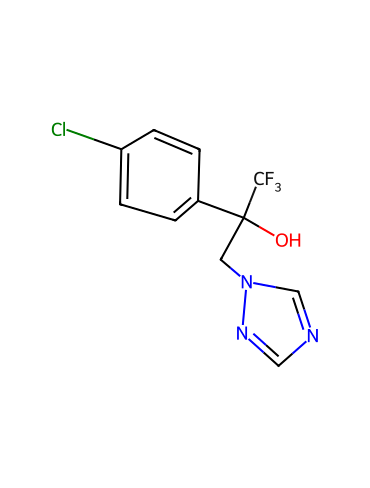 OC(Cn1cncn1)(c1ccc(Cl)cc1)C(F)(F)F